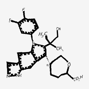 CC(C)(CC#N)c1c([C@H]2CCC(C(=O)O)OC2)c2cc3[nH]ncc3cc2n1-c1ccc(F)c(F)c1